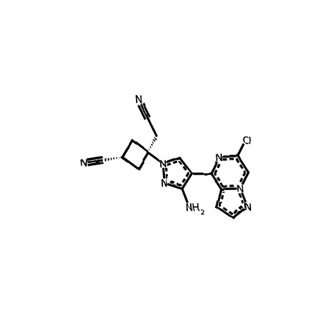 N#CC[C@]1(n2cc(-c3nc(Cl)cn4nccc34)c(N)n2)C[C@H](C#N)C1